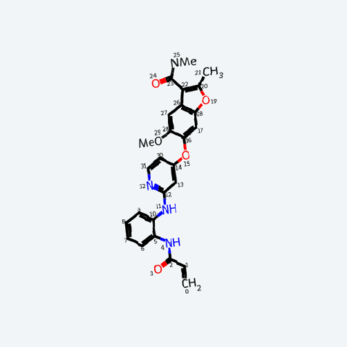 C=CC(=O)Nc1ccccc1Nc1cc(Oc2cc3oc(C)c(C(=O)NC)c3cc2OC)ccn1